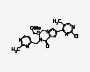 COC[C@H]1Cn2cc(-c3nc(Cl)ncc3C)cc2C(=O)N1Cc1ccnc(C)n1